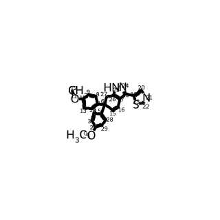 COc1ccc(C2(c3ccc(OC)cc3)C=Cc3c(-c4cncs4)n[nH]c3C2)cc1